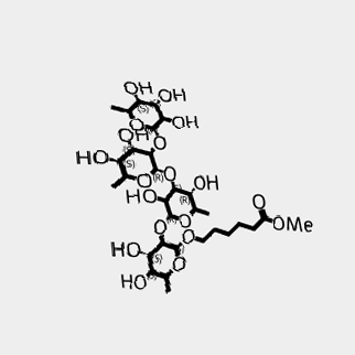 COC(=O)CCCCCO[C@H]1OC(C)[C@@H](O)[C@H](O)C1O[C@H]1OC(C)[C@@H](O)[C@H](O[C@H]2OC(C)[C@@H](O)[C@H](O)C2O[C@H]2OC(C)[C@@H](O)[C@H](O)C2O)C1O